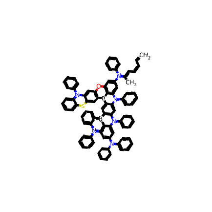 C=C/C=C\C=C(/C)N(c1ccccc1)c1cc2c3c(c1)N(c1ccccc1)c1cc4c(cc1B3c1cc3c(cc1O2)N(c1ccccc1)c1ccccc1S3)B1c2ccccc2N(c2ccccc2)c2cc(N(c3ccccc3)c3ccccc3)cc(c21)N4c1ccccc1